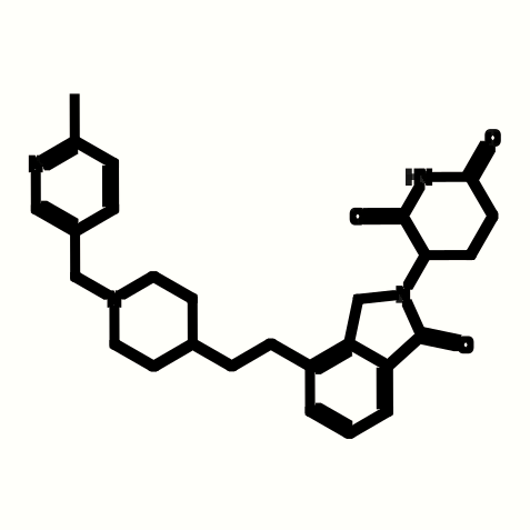 Cc1ccc(CN2CCC(CCc3cccc4c3CN(C3CCC(=O)NC3=O)C4=O)CC2)cn1